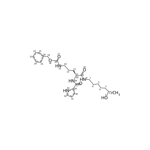 CC(O)CCCCCNC(=O)[C@H](CCCNC(=O)OCc1ccccc1)NC(=O)c1ccc[nH]1